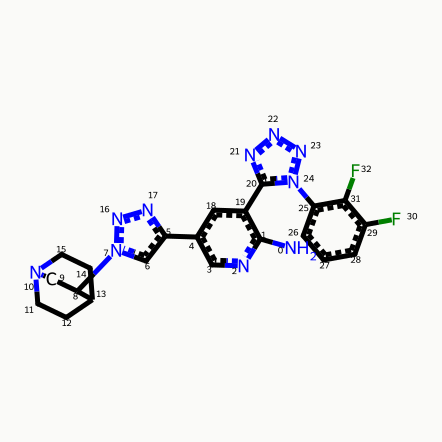 Nc1ncc(-c2cn(C3CN4CCC3CC4)nn2)cc1-c1nnnn1-c1cccc(F)c1F